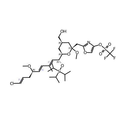 CO[C@@H](/C=C/C(C)=C/[C@@H](O[Si](C(C)C)(C(C)C)C(C)C)[C@H]1C[C@@H](CO)C[C@](Cc2nc(OS(=O)(=O)C(F)(F)F)co2)(OC)O1)C/C=C/Cl